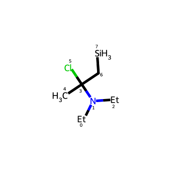 CCN(CC)C(C)(Cl)C[SiH3]